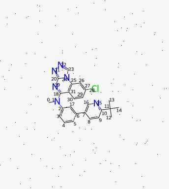 CN(c1cccc(-c2ccc(C(C)(C)C)nc2)c1)c1nc2nncn2c2cc(Cl)ccc12